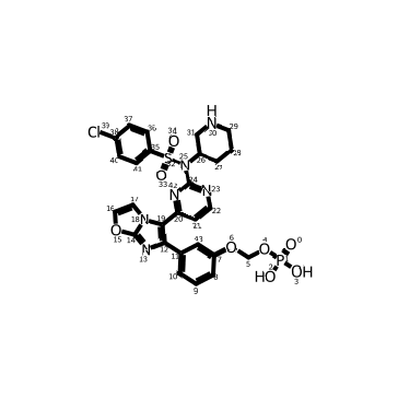 O=P(O)(O)OCOc1cccc(-c2nc3occn3c2-c2ccnc(N(C3CCCNC3)S(=O)(=O)c3ccc(Cl)cc3)n2)c1